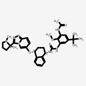 COc1c(NC(C)=O)cc(C(C)(C)C)cc1NC(=O)N[C@H]1CC[C@@H](Oc2ccc3nnc([C@]4(C)CCCN4C)n3c2)c2ccccc21